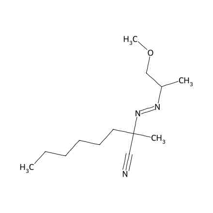 CCCCCCC(C)(C#N)N=NC(C)COC